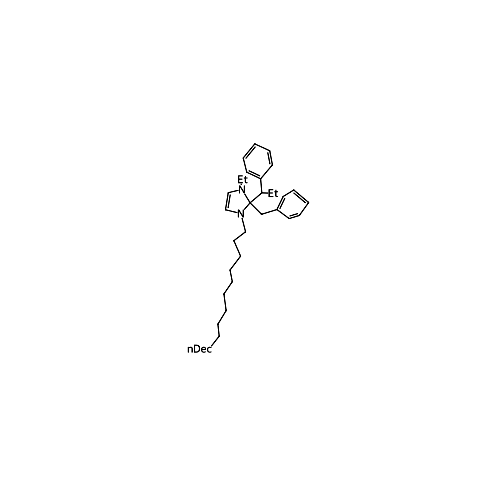 CCCCCCCCCCCCCCCCCCCN1C=CN(CC)C1(Cc1ccccc1)C(CC)c1ccccc1